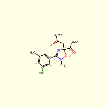 COC(=O)CC1(C(=O)OC)N=C(c2cc(C)cc(Br)c2)N(C)O1